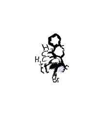 CC/C(Br)=C(/F)C1CSc2ccccc2C(C)C1(C)C